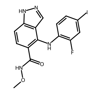 CONC(=O)c1ccc2[nH]ncc2c1Nc1ccc(I)cc1F